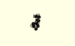 c1ccc(-c2cccc(-c3nc(-c4cccc5c(-c6cccc7oc8cnccc8c67)cccc45)nc(-c4cccc5oc6ccccc6c45)n3)c2)cc1